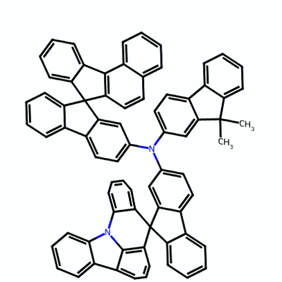 CC1(C)c2ccccc2-c2ccc(N(c3ccc4c(c3)C3(c5ccccc5-4)c4ccccc4-c4c3ccc3ccccc43)c3ccc4c(c3)C3(c5ccccc5-4)c4ccccc4-n4c5ccccc5c5cccc3c54)cc21